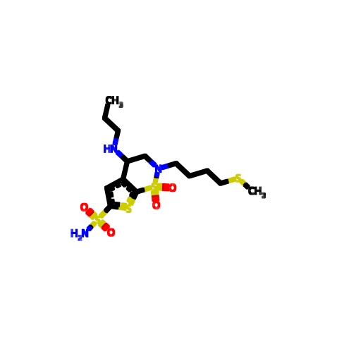 CCCNC1CN(CCCCSC)S(=O)(=O)c2sc(S(N)(=O)=O)cc21